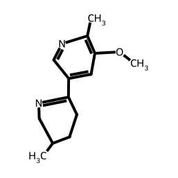 COc1cc(C2=NCC(C)CC2)cnc1C